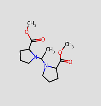 COC(=O)C1CCCN1C(C)N1CCCC1C(=O)OC